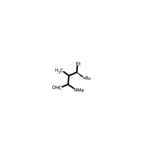 CCCC[C@H](CC)C(C)C(C=O)NC